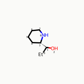 CCC(O)[C@@H]1CCCCN1